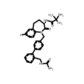 CC(C)(N)C(=O)N[C@@H]1CCc2cc(F)ccc2N(Cc2ccc(-c3ccccc3CNC(N)=O)cc2)C1=O